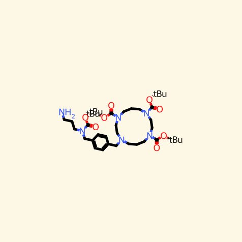 CC(C)(C)OC(=O)N1CCCN(C(=O)OC(C)(C)C)CCN(C(=O)OC(C)(C)C)CCCN(Cc2ccc(CN(CCCN)C(=O)OC(C)(C)C)cc2)CC1